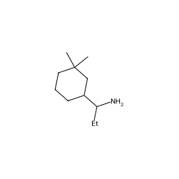 CCC(N)C1CCCC(C)(C)C1